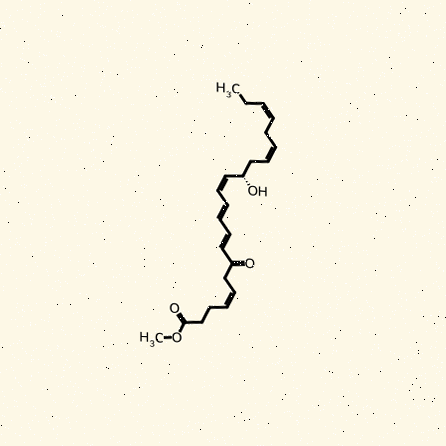 CC/C=C\C/C=C\C[C@H](O)\C=C/C=C/C=C/C(=O)C/C=C\CCC(=O)OC